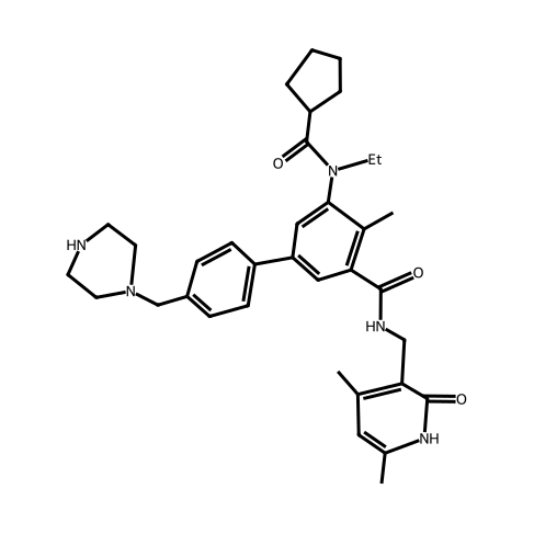 CCN(C(=O)C1CCCC1)c1cc(-c2ccc(CN3CCNCC3)cc2)cc(C(=O)NCc2c(C)cc(C)[nH]c2=O)c1C